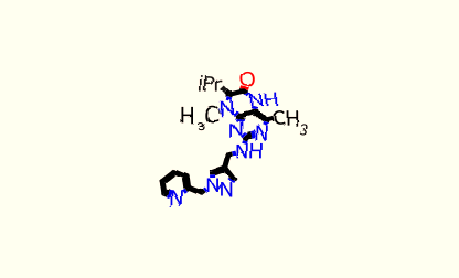 Cc1nc(NCc2cnn(Cc3ccccn3)c2)nc2c1NC(=O)C(C(C)C)N2C